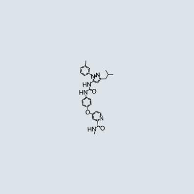 CNC(=O)c1cc(Oc2ccc(NC(=O)Nc3cc(CC(C)C)nn3-c3cccc(C)c3)cc2)ccn1